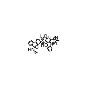 CCN(c1ccccc1)c1c(-c2cnc(C)s2)nc(O)c(S(=O)(=O)c2ccc(-c3ccccc3C(=O)NC3CC3)cc2)c1O